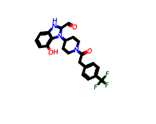 O=CC1Nc2cccc(O)c2N1C1CCN(C(=O)Cc2ccc(C(F)(F)F)cc2)CC1